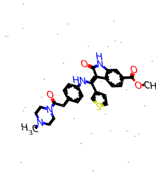 COC(=O)c1ccc2c(c1)NC(=O)/C2=C(\Nc1ccc(CC(=O)N2CCN(C)CC2)cc1)c1ccsc1